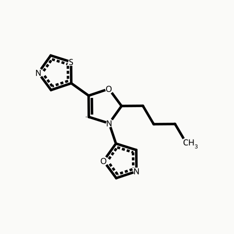 CCCCC1OC(c2cncs2)=[C]N1c1cnco1